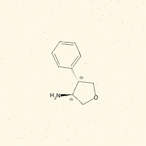 N[C@@H]1COC[C@H]1c1ccccc1